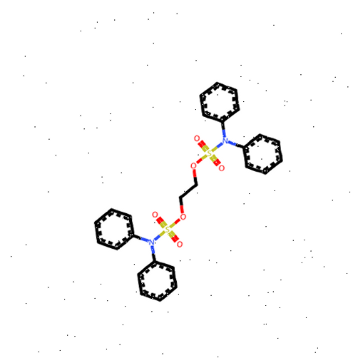 O=S(=O)(OCCOS(=O)(=O)N(c1ccccc1)c1ccccc1)N(c1ccccc1)c1ccccc1